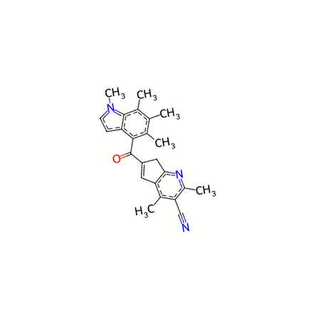 Cc1nc2c(c(C)c1C#N)C=C(C(=O)c1c(C)c(C)c(C)c3c1ccn3C)C2